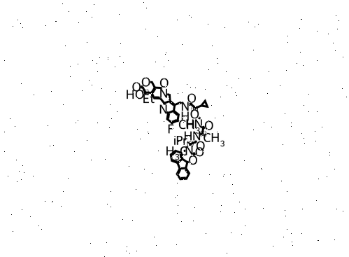 CC[C@@]1(O)C(=O)OCc2c1cc1n(c2=O)Cc2c-1nc1cc(F)c(C)cc1c2CNC(=O)[C@H](OCNC(=O)[C@H](C)NC(=O)[C@H](C(C)C)N(C)C(=O)OC1c2ccccc2-c2ccccc21)C1CC1